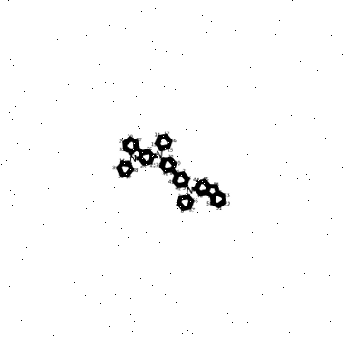 c1ccc(N(c2ccc(-c3ccc(N(c4ccccc4)c4ccc5c(c4)c4ccccc4n5-c4ccccc4)cc3)cc2)c2ccc3c(c2)-c2ccccc2C3)cc1